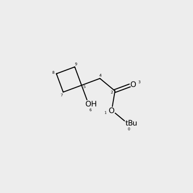 CC(C)(C)OC(=O)CC1(O)CCC1